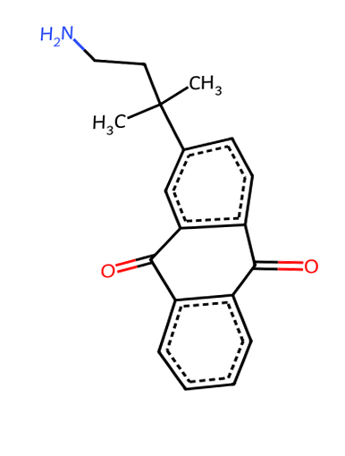 CC(C)(CCN)c1ccc2c(c1)C(=O)c1ccccc1C2=O